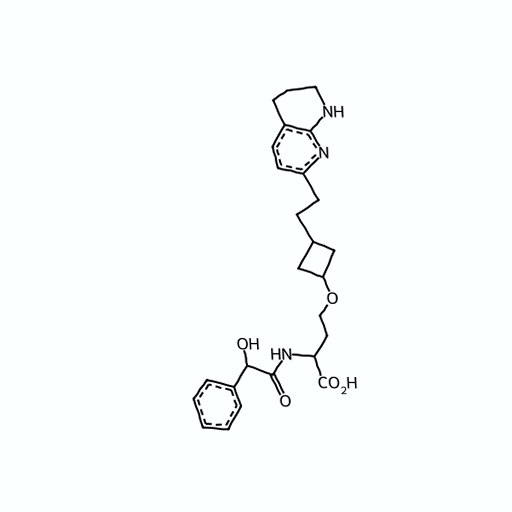 O=C(O)C(CCOC1CC(CCc2ccc3c(n2)NCCC3)C1)NC(=O)C(O)c1ccccc1